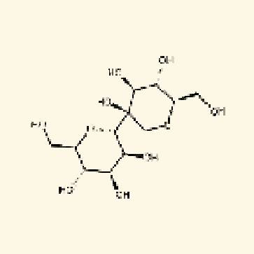 OC[C@H]1O[CH][C@](O)([C@H]2O[C@H](CO)[C@@H](O)[C@H](O)[C@@H]2O)[C@@H](O)[C@@H]1O